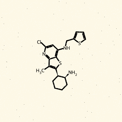 Cc1c([C@@H]2CCCC[C@@H]2N)sc2c(NCc3cccs3)cc(Cl)nc12